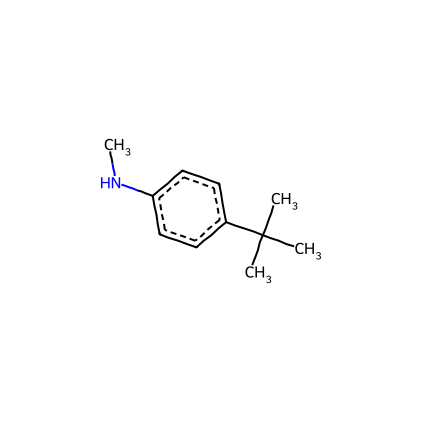 CNc1ccc(C(C)(C)C)cc1